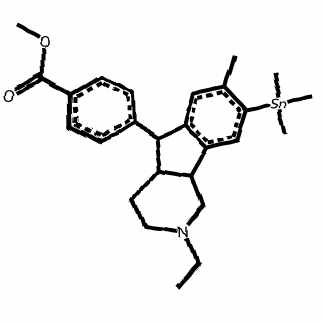 CCN1CCC2C(C1)c1c[c]([Sn]([CH3])([CH3])[CH3])c(C)cc1C2c1ccc(C(=O)OC)cc1